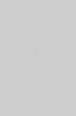 C=C(C)C(=O)OC(O)CBCCSC(S)CC